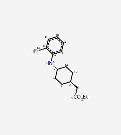 CCOC(=O)C[C@H]1CC[C@H](Nc2ccccc2C(C)C)CC1